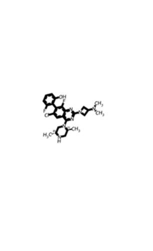 C[C@@H]1CN(c2nc(N3CC(N(C)C)C3)nc3c(F)c(-c4c(O)cccc4F)c(Cl)cc23)[C@@H](C)CN1